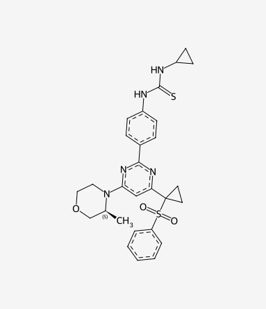 C[C@H]1COCCN1c1cc(C2(S(=O)(=O)c3ccccc3)CC2)nc(-c2ccc(NC(=S)NC3CC3)cc2)n1